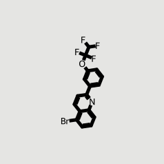 FC(F)C(F)(F)Oc1cccc(-c2ccc3c(Br)cccc3n2)c1